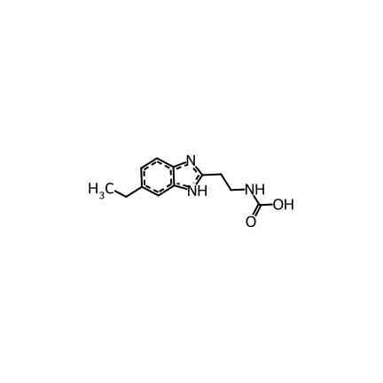 CCc1ccc2nc(CCNC(=O)O)[nH]c2c1